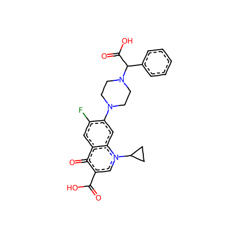 O=C(O)c1cn(C2CC2)c2cc(N3CCN(C(C(=O)O)c4ccccc4)CC3)c(F)cc2c1=O